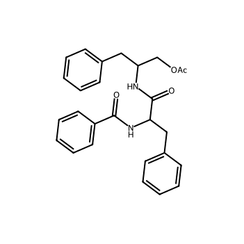 CC(=O)OCC(Cc1ccccc1)NC(=O)C(Cc1ccccc1)NC(=O)c1ccccc1